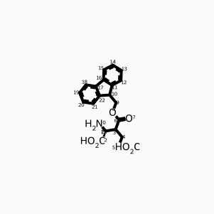 N[C@H](C(=O)O)C(CC(=O)O)C(=O)OCC1c2ccccc2-c2ccccc21